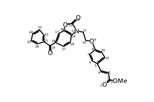 COC(=O)/C=C/c1ccc(OCCn2c(=O)oc3cc(C(=O)c4ccccc4)ccc32)cc1